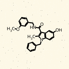 COc1cccc(CNC(=O)c2c(C)n(Cc3ccccc3)c3ccc(O)cc23)c1